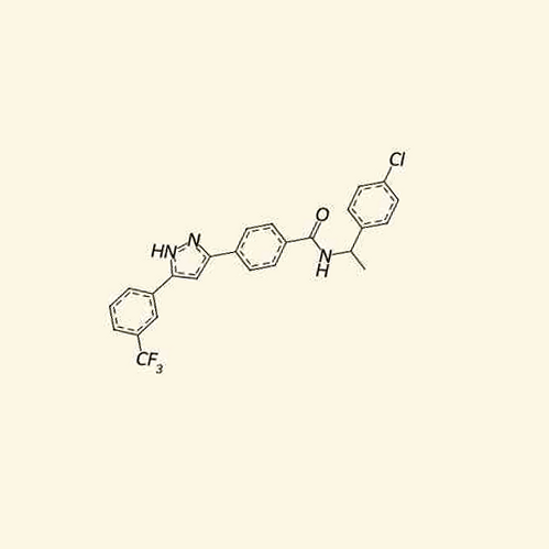 CC(NC(=O)c1ccc(-c2cc(-c3cccc(C(F)(F)F)c3)[nH]n2)cc1)c1ccc(Cl)cc1